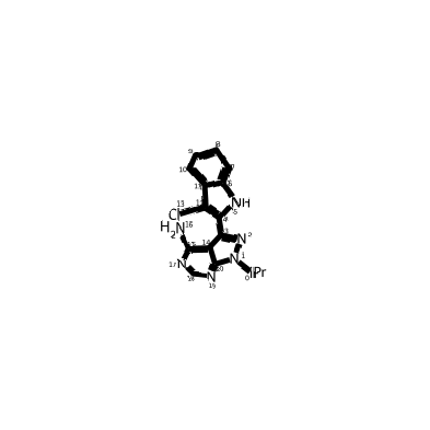 CC(C)n1nc(-c2[nH]c3ccccc3c2Cl)c2c(N)ncnc21